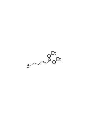 CCOP(/C=C/CCBr)OCC